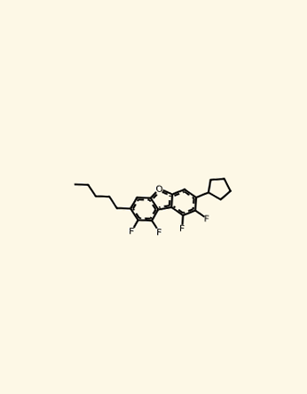 CCCCCc1cc2oc3cc(C4CCCC4)c(F)c(F)c3c2c(F)c1F